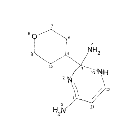 NC1=NC(N)(C2CCOCC2)NC=C1